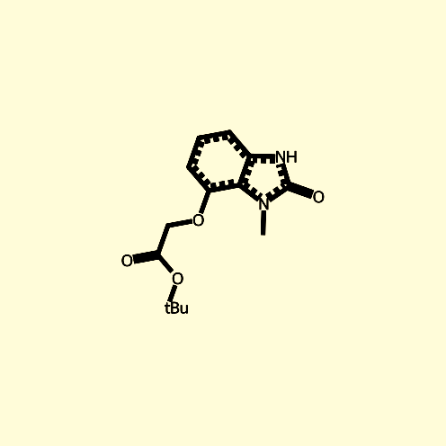 Cn1c(=O)[nH]c2cccc(OCC(=O)OC(C)(C)C)c21